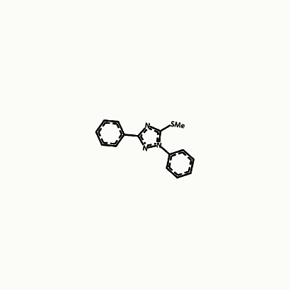 CSc1nc(-c2ccccc2)nn1-c1ccccc1